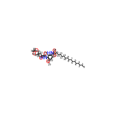 CCCCCCCCCCCCCCCCS(=O)(=O)Nc1ccc(OC)c(NC(=O)C(=O)CC2(C)COC(C)(C)OC2)c1